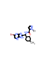 CCn1nccc1C(=O)NC(c1nc2nc(Br)cnc2[nH]1)C1CCC(C)CC1